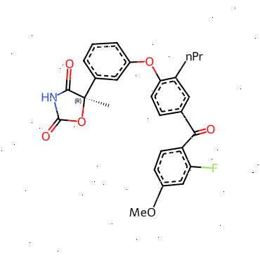 CCCc1cc(C(=O)c2ccc(OC)cc2F)ccc1Oc1cccc([C@@]2(C)OC(=O)NC2=O)c1